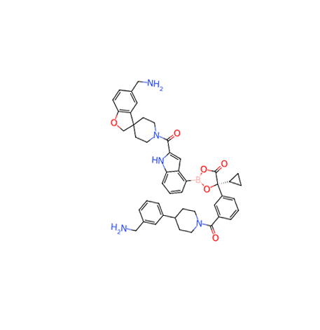 NCc1cccc(C2CCN(C(=O)c3cccc([C@@]4(C5CC5)OB(c5cccc6[nH]c(C(=O)N7CCC8(CC7)COc7ccc(CN)cc78)cc56)OC4=O)c3)CC2)c1